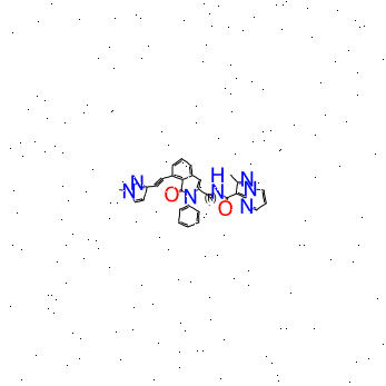 Cc1nn2cccnc2c1C(=O)N[C@H](C)c1cc2cccc(C#Cc3ccn(C)n3)c2c(=O)n1-c1ccccc1